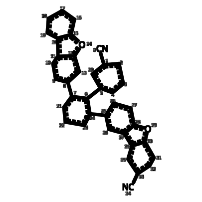 N#Cc1cccc(-c2c(-c3ccc4c(c3)oc3ccccc34)cccc2-c2ccc3oc4ccc(C#N)cc4c3c2)c1